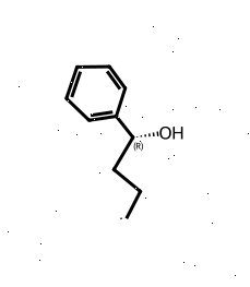 [CH2]CC[C@@H](O)c1ccccc1